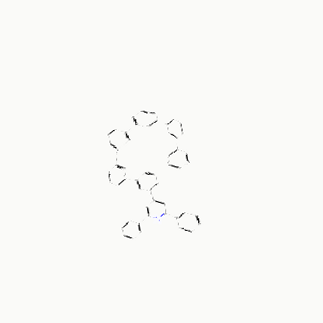 c1ccc(-c2cccc(-c3cccc(-c4cccc(-c5cccc(-c6cccc(-c7cc(-c8ccccc8)nc(-c8ccccc8)c7)c6)c5)c4)c3)c2)cc1